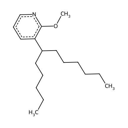 CCCCCCC(CCCCC)c1cccnc1OC